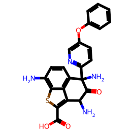 Nc1ccc2c3c(c(C(=O)O)sc13)C(N)C(=O)C2(N)c1ccc(Oc2ccccc2)cn1